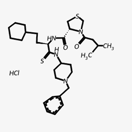 CC(C)CC(=O)N1CSC[C@H]1C(=O)N[C@H](CCC1CCCCC1)C(=S)NC1CCN(Cc2ccccc2)CC1.Cl